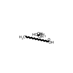 CCCCCCCCCCCCCCCCCC(=O)O.NC(O)(O)CO